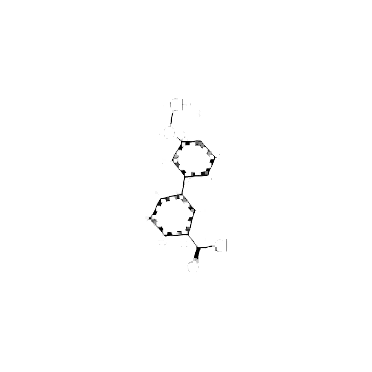 COc1cccc(-c2cccc(C(=O)Cl)c2)c1